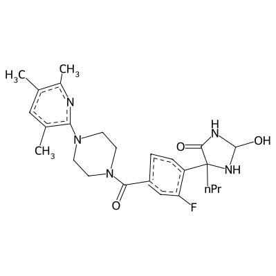 CCCC1(c2ccc(C(=O)N3CCN(c4nc(C)c(C)cc4C)CC3)cc2F)NC(O)NC1=O